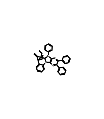 C=C1C2(CC)c3ccccc3N3c4nc(-c5ccccc5)c(-c5ccccc5)nc4N(c4ccccc4)C3C12CC